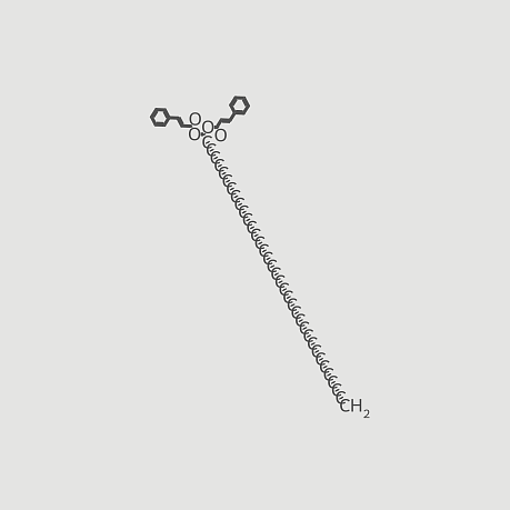 C=C=C=C=C=C=C=C=C=C=C=C=C=C=C=C=C=C=C=C=C=C=C=C=C=C=C=C=C=C=C=C=C=C=C=C(OC(=O)/C=C/c1ccccc1)OC(=O)/C=C/c1ccccc1